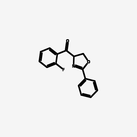 O=C(c1ccccc1F)C1COC(c2ccccc2)=N1